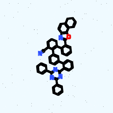 N#CC1=CCCC(c2ccccc2-c2nc3ccc4c(c3o2)C=CCC4)=C1c1cccc(-c2ccccc2-c2nc(-c3ccccc3)nc(-c3ccccc3)n2)c1